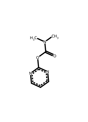 CN(C)C(=O)Oc1ncccn1